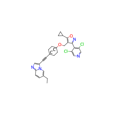 CCc1ccc2ncc(C#CC34CCC(OCc5c(-c6c(Cl)cncc6Cl)noc5C5CC5)(CC3)CC4)n2c1